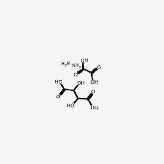 N.N.O=C(O)C(=O)O.O=C(O)C(O)C(O)C(=O)O